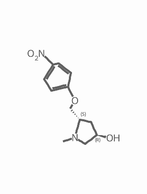 CN1C[C@H](O)C[C@H]1COc1ccc([N+](=O)[O-])cc1